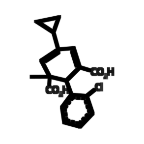 CC1(C(=O)O)C=C(C2CC2)C=C(C(=O)O)C1c1ccccc1Cl